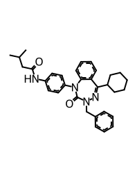 CC(C)CC(=O)Nc1ccc(N2C(=O)N(Cc3ccccc3)N=C(C3CCCCC3)c3ccccc32)cc1